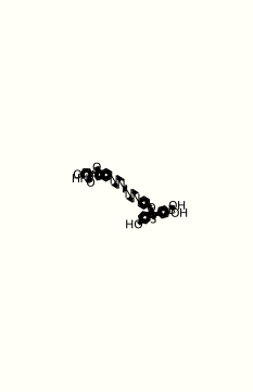 O=C1CCC(N2Cc3cc(N4CCN(CCN5CCN(c6ccc(Oc7c(-c8ccc(B(O)O)cc8)sc8cc(O)ccc78)cc6)CC5)CC4)ccc3C2=O)C(=O)N1